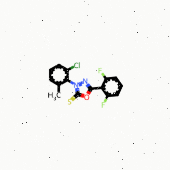 Cc1cccc(Cl)c1-n1nc(-c2c(F)cccc2F)oc1=S